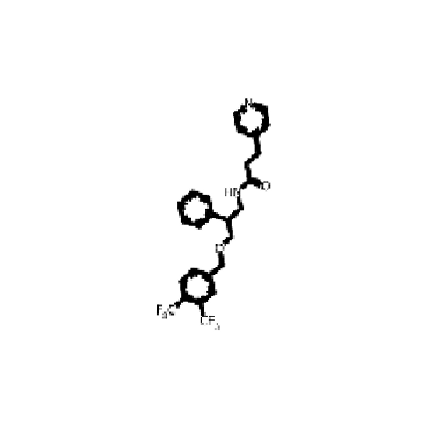 O=C(CCc1ccncc1)NCC(COCc1ccc(C(F)(F)F)c(C(F)(F)F)c1)c1ccccc1